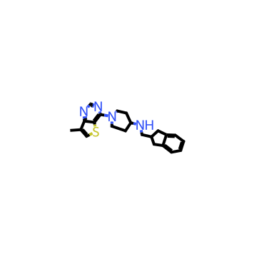 Cc1csc2c(N3CCC(NCC4Cc5ccccc5C4)CC3)ncnc12